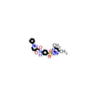 Cc1cc(C)nc(NS(=O)(=O)c2ccc(NC(=O)c3nn(-c4ccccc4)ccc3=O)cc2)n1